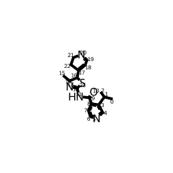 CC(C)c1cnccc1C(=O)NC1=NC(C)C(C2=CC=NCC2)S1